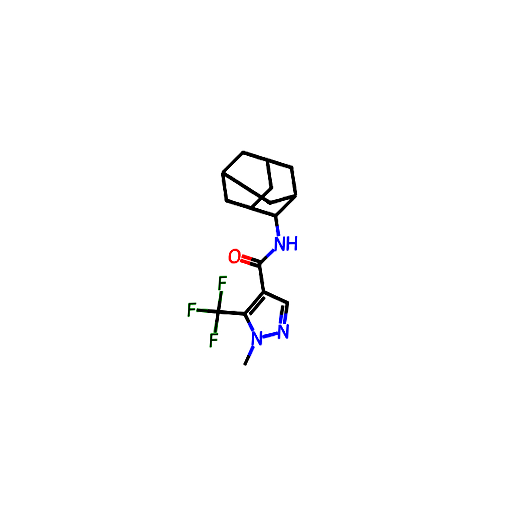 Cn1ncc(C(=O)NC2C3CC4CC(C3)CC2C4)c1C(F)(F)F